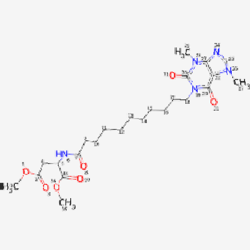 COC(=O)CC(NC(=O)CCCCCCCCCCn1c(=O)c2c(ncn2C)n(C)c1=O)C(=O)OC